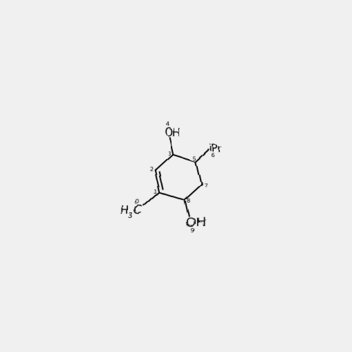 CC1=CC(O)C(C(C)C)CC1O